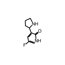 O=c1[nH]cc(F)cc1C1CCCN1